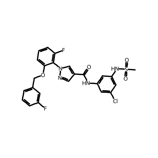 CS(=O)(=O)Nc1cc(Cl)cc(NC(=O)c2cnn(-c3c(F)cccc3OCc3cccc(F)c3)c2)c1